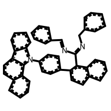 C(=N\C(=N/Cc1ccccc1)c1c(-c2ccc(-n3c4ccccc4c4ccc5ccccc5c43)cc2)ccc2ccccc12)/c1ccccc1